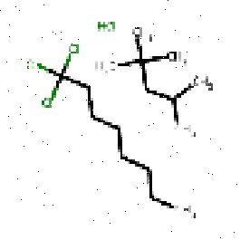 CC(C)CC(C)(C)C.CCCCCCCC(Cl)(Cl)Cl.Cl